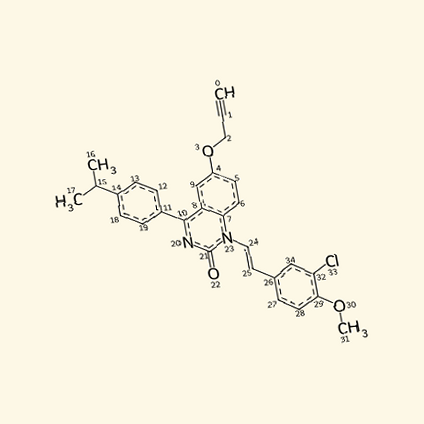 C#CCOc1ccc2c(c1)c(-c1ccc(C(C)C)cc1)nc(=O)n2C=Cc1ccc(OC)c(Cl)c1